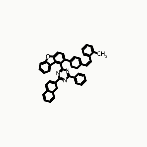 Cc1ccccc1/C=C\C1=CC=C(c2ccc3oc4ccccc4c3c2-c2nc(C3=CC=C4C=CC=CC4C3)nc(-c3ccccc3)n2)CC1